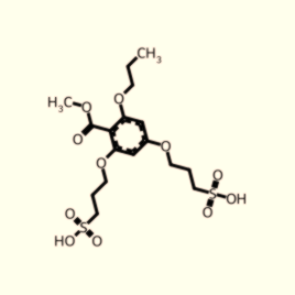 CCCOc1cc(OCCCS(=O)(=O)O)cc(OCCCS(=O)(=O)O)c1C(=O)OC